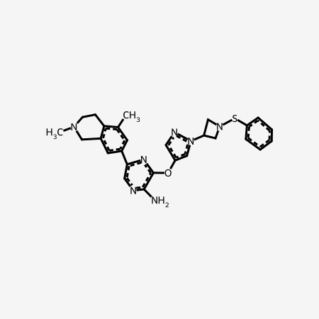 Cc1cc(-c2cnc(N)c(Oc3cnn(C4CN(Sc5ccccc5)C4)c3)n2)cc2c1CCN(C)C2